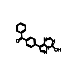 O=C(c1ccccc1)c1ccc(-c2cnn3c(O)ncnc23)cc1